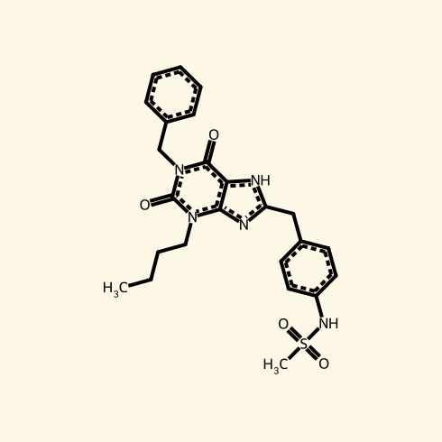 CCCCn1c(=O)n(Cc2ccccc2)c(=O)c2[nH]c(Cc3ccc(NS(C)(=O)=O)cc3)nc21